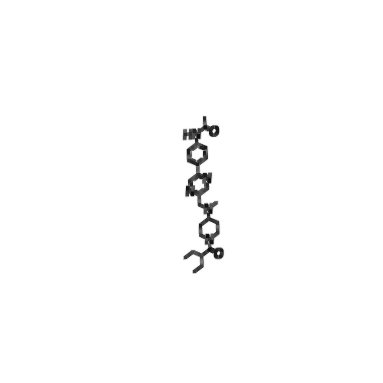 CCC(CC)C(=O)N1CCC(N(C)Cc2cnc(-c3ccc(NC(C)=O)cc3)cn2)CC1